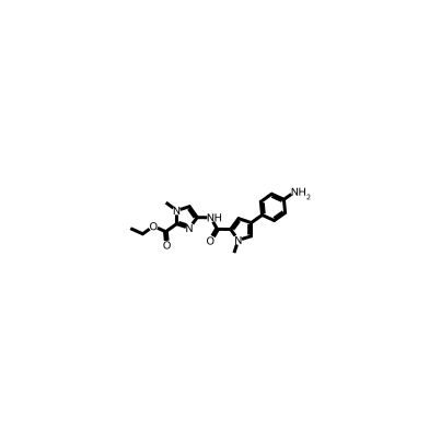 CCOC(=O)c1nc(NC(=O)c2cc(-c3ccc(N)cc3)cn2C)cn1C